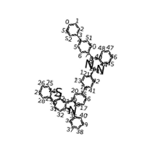 c1ccc(-c2ccc(-c3nc(-c4ccc(-c5ccc6c(c5)c5c7sc8ccccc8c7ccc5n6-c5ccccc5)cc4)nc4ccccc34)cc2)cc1